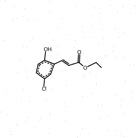 CCOC(=O)C=Cc1cc(Cl)ccc1O